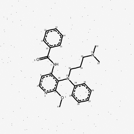 COc1nccc(NC(=O)c2ccccc2)c1N(CCCN(C)C)c1ccccc1